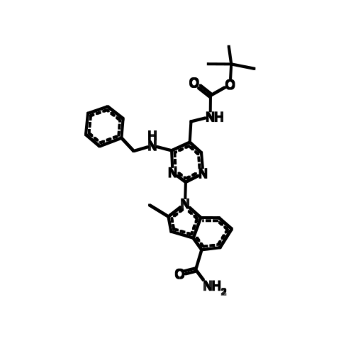 Cc1cc2c(C(N)=O)cccc2n1-c1ncc(CNC(=O)OC(C)(C)C)c(NCc2ccccc2)n1